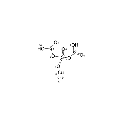 O=S(O)OS(=O)(=O)OS(=O)O.[Cu].[Cu]